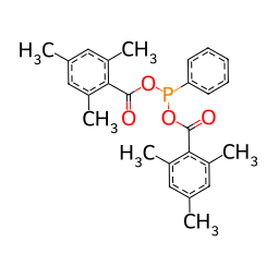 Cc1cc(C)c(C(=O)OP(OC(=O)c2c(C)cc(C)cc2C)c2ccccc2)c(C)c1